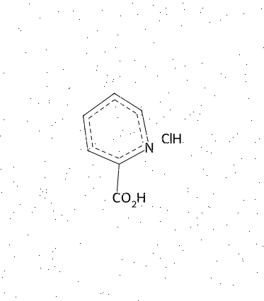 Cl.O=C(O)c1ccccn1